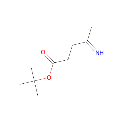 CC(=N)CCC(=O)OC(C)(C)C